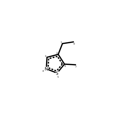 CCc1cnsc1C